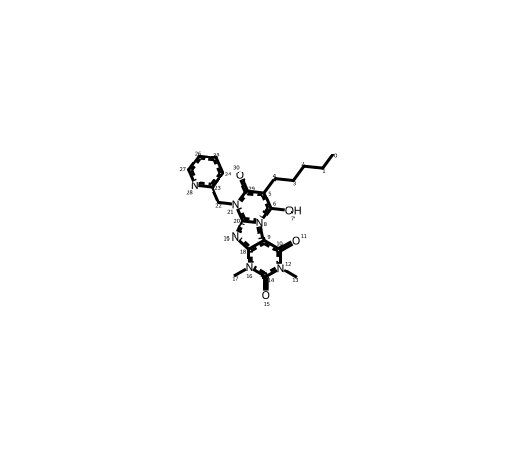 CCCCCc1c(O)n2c3c(=O)n(C)c(=O)n(C)c3nc2n(Cc2ccccn2)c1=O